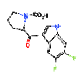 O=C(c1c[nH]c2cc(F)c(F)cc12)C1CCCN1C(=O)O